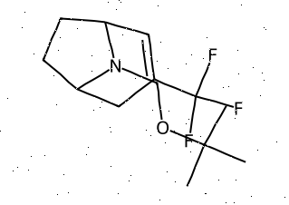 CC(C)(C)OCN1C2C=C(C(F)(F)F)CC1CC2